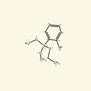 CCO[Si](OC)(OC)c1ccccc1S